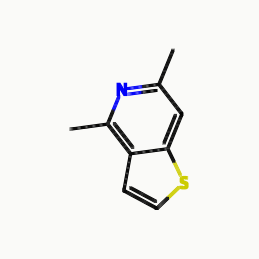 Cc1cc2sccc2c(C)n1